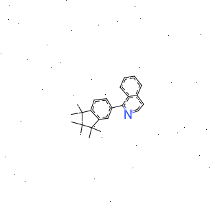 CC1(C)c2ccc(-c3nccc4ccccc34)cc2C(C)(C)C1(C)C